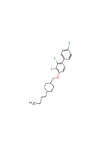 CCCCC1CCC(COc2ccc(-c3ccc(F)cc3)c(F)c2F)CC1